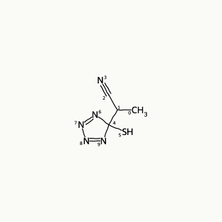 CC(C#N)C1(S)N=NN=N1